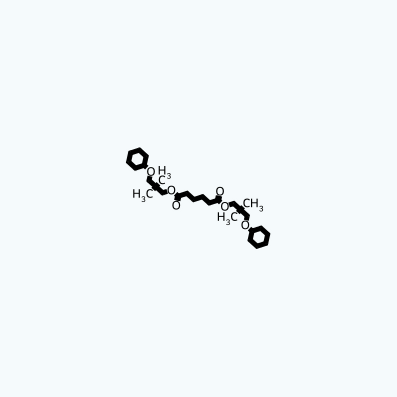 CC(C)(COC(=O)CCCCC(=O)OCC(C)(C)COC1CCCCC1)COC1CCCCC1